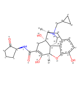 O=C(N[C@H]1CCCC1=O)C1=C(O)[C@@H]2Oc3c(O)ccc4c3[C@@]23CCN(CC2CC2)[C@H](C4)[C@]3(O)C1